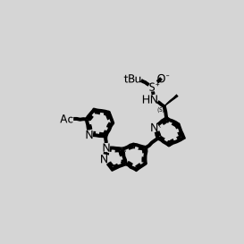 CC(=O)c1cccc(-n2ncc3ccc(-c4cccc([C@H](C)N[S+]([O-])C(C)(C)C)n4)cc32)n1